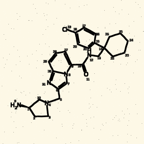 N[C@@H]1CCN(Cc2cn3c(C(=O)NCC4(c5ccc(Cl)cc5)CCCCC4)cccc3n2)C1